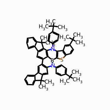 CC(C)(C)c1ccc(N2B3c4sc5ccc(C(C)(C)C)cc5c4N(c4ccc(C(C)(C)C)cc4)c4c3c(cc3c4C(C)(C)c4ccccc4-3)-c3cc4c(cc32)C(C)(C)c2ccccc2-4)cc1